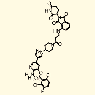 C[C@@H](Oc1cc(-c2cnn(C3CCN(C(=O)CCNc4cccc5c4C(=O)N(C4CCC(=O)NC4=O)C5=O)CC3)c2)cnc1N)c1c(Cl)ccc(F)c1Cl